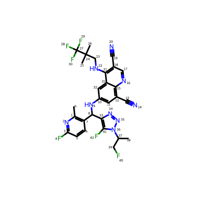 Cc1nc(F)ccc1C(Nc1cc(C#N)c2ncc(C#N)c(NCC(C)(C)C(F)(F)F)c2c1)c1nnn(C(C)CF)c1F